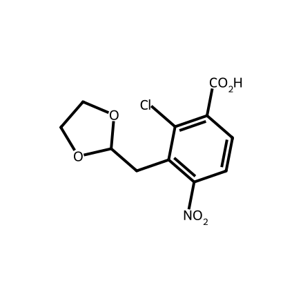 O=C(O)c1ccc([N+](=O)[O-])c(CC2OCCO2)c1Cl